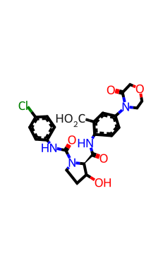 O=C(O)c1cc(N2CCOCC2=O)ccc1NC(=O)[C@H]1C(O)CCN1C(=O)Nc1ccc(Cl)cc1